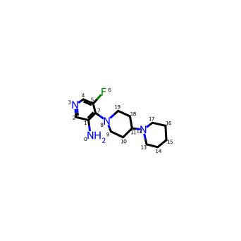 Nc1cncc(F)c1N1CCC(N2CCCCC2)CC1